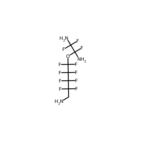 NCC(F)(F)C(F)(F)C(F)(F)C(F)(F)OC(N)(F)C(N)(F)F